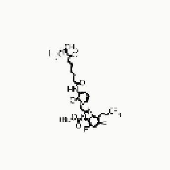 CN(C)C(=O)/C=C/CCCC(=O)Nc1cccn(Cc2nc3c(CCC(F)(F)F)c(F)cc(F)c3n2C(=O)OC(C)(C)C)c1=O